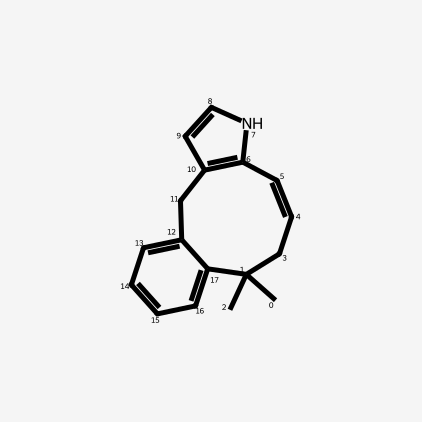 CC1(C)C/C=C\c2[nH]ccc2Cc2ccccc21